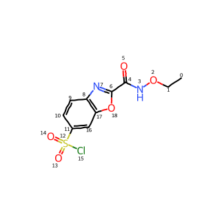 CCONC(=O)c1nc2ccc(S(=O)(=O)Cl)cc2o1